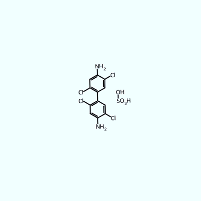 Nc1cc(Cl)c(-c2cc(Cl)c(N)cc2Cl)cc1Cl.O=S(=O)(O)O